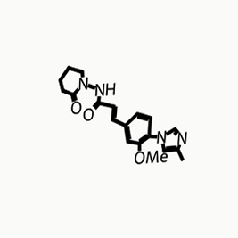 COc1cc(C=CC(=O)NN2CCCCC2=O)ccc1-n1cnc(C)c1